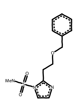 CNS(=O)(=O)n1ccnc1CCOCc1ccccc1